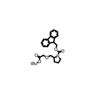 CC(C)(C)OC(=O)COCC1CCCN1C(=O)OCC1c2ccccc2-c2ccccc21